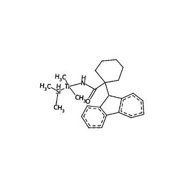 C[SiH](C)[Ti]([CH3])([CH3])[NH]C(=O)C1(C2c3ccccc3-c3ccccc32)CCCCC1